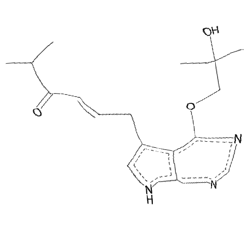 CC(C)C(=O)/C=C/Cc1c[nH]c2ncnc(OCC(C)(C)O)c12